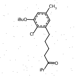 Cc1cc(CCCCC(=O)C(C)C)c(Cl)c(OCC(C)C)c1